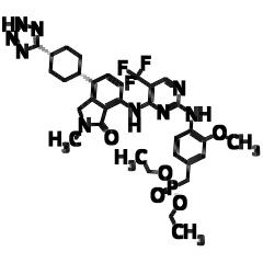 CCOP(=O)(Cc1ccc(Nc2ncc(C(F)(F)F)c(Nc3ccc([C@H]4CC[C@@H](c5nn[nH]n5)CC4)c4c3C(=O)N(C)C4)n2)c(OC)c1)OCC